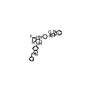 O=C(N[C@H]1CC[C@@H](NC(=O)c2cc(F)cnc2Nc2ccc3c(cnn3Cc3ccccc3)c2)CC1)c1cn2ccccc2n1